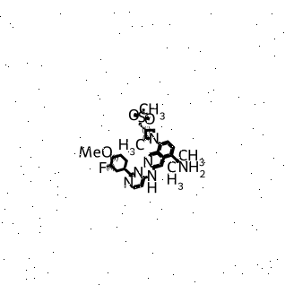 CO[C@H]1CCC(c2nccc(Nc3cc4c(C(C)(C)N)ccc(N5C[C@H](CS(C)(=O)=O)[C@H]5C)c4cn3)n2)C[C@H]1F